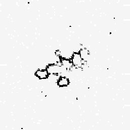 CC(C)=CC1C(C(=O)OCc2ccccc2Oc2ccccc2)C1(C)C